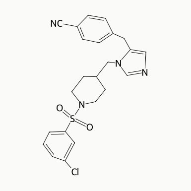 N#Cc1ccc(Cc2cncn2CC2CCN(S(=O)(=O)c3cccc(Cl)c3)CC2)cc1